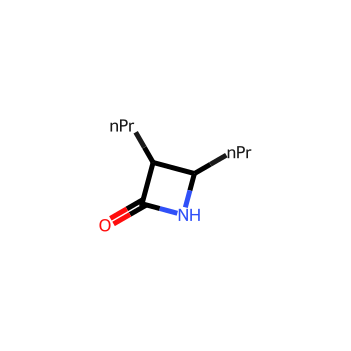 CCCC1NC(=O)C1CCC